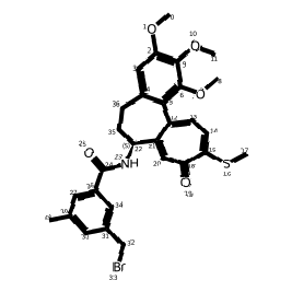 COc1cc2c(c(OC)c1OC)-c1ccc(SC)c(=O)cc1[C@@H](NC(=O)c1cc(C)cc(CBr)c1)CC2